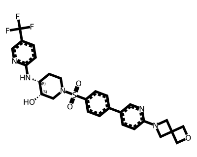 O=S(=O)(c1ccc(-c2ccc(N3CC4(COC4)C3)nc2)cc1)N1CC[C@@H](Nc2ccc(C(F)(F)F)cn2)[C@@H](O)C1